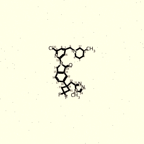 C[C@H]1CCCN(Cc2cc(Cl)nc(N3Cc4ccc(C5(Cc6nncn6C)CC(F)(F)C5)cc4C3=O)c2)C1